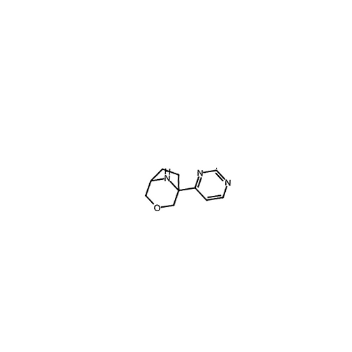 [c]1nccc(C23CCC(COC2)N3)n1